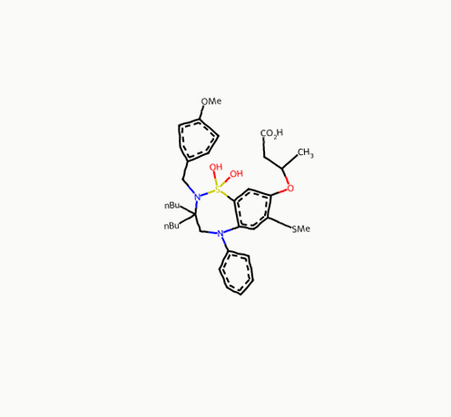 CCCCC1(CCCC)CN(c2ccccc2)c2cc(SC)c(OC(C)CC(=O)O)cc2S(O)(O)N1Cc1ccc(OC)cc1